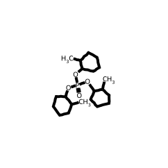 CC1CCCCC1OP(=O)(OC1CCCCC1C)OC1CCCCC1C